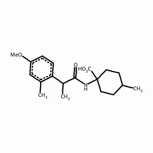 COc1ccc(C(C)C(=O)NC2(C(=O)O)CCC(C)CC2)c(C)c1